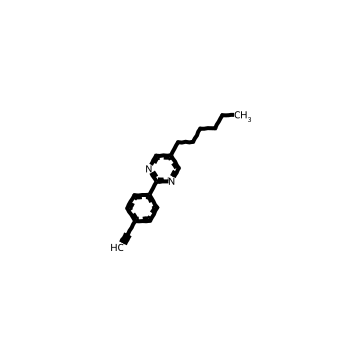 C#Cc1ccc(-c2ncc(CCCCCC)cn2)cc1